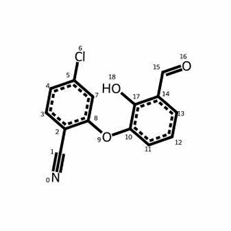 N#Cc1ccc(Cl)cc1Oc1cccc(C=O)c1O